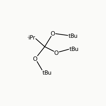 C[C](C)C(OC(C)(C)C)(OC(C)(C)C)OC(C)(C)C